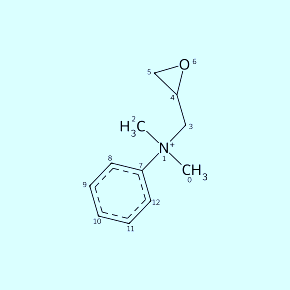 C[N+](C)(CC1CO1)c1ccccc1